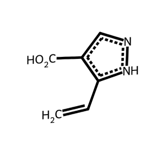 C=Cc1[nH]ncc1C(=O)O